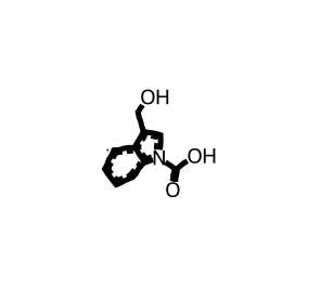 O=C(O)n1cc(CO)c2[c]cccc21